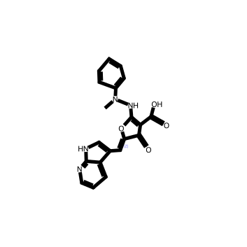 CN(NC1=C(C(=O)O)C(=O)/C(=C/c2c[nH]c3ncccc23)O1)c1ccccc1